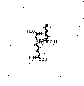 NC(CC(=O)O)C(=O)O.NCCCCC(N)C(=O)O.NCCCCC(N)C(=O)O